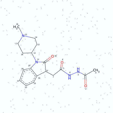 CC(=O)NNC(=O)CC1C(=O)N(C2CCN(C)CC2)c2ccccc21